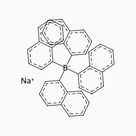 [Na+].c1ccc2c([B-](c3cccc4ccccc34)(c3cccc4ccccc34)c3cccc4ccccc34)cccc2c1